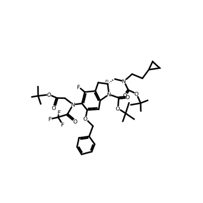 CC(C)(C)OC(=O)CN(C(=O)C(F)(F)F)c1c(OCc2ccccc2)cc2c(c1F)C[C@H](CN(CCC1CC1)C(=O)OC(C)(C)C)N2C(=O)OC(C)(C)C